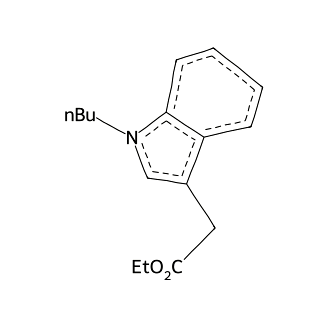 CCCCn1cc(CC(=O)OCC)c2ccccc21